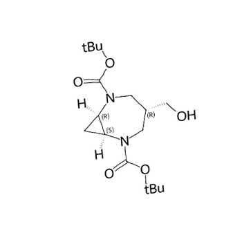 CC(C)(C)OC(=O)N1C[C@H](CO)CN(C(=O)OC(C)(C)C)[C@H]2C[C@H]21